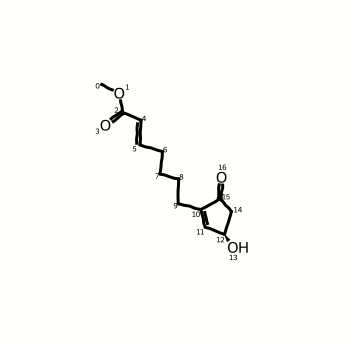 COC(=O)C=CCCCCC1=C[C@H](O)CC1=O